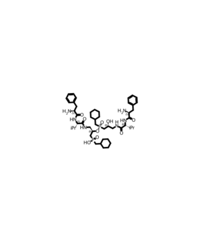 CC(C)[C@H](NC(=O)[C@@H](N)Cc1ccccc1)C(=O)NC[C@H](CP(=O)(O)CC1CCCCC1)OP(=O)(CC1CCCCC1)C[C@H](O)CNC(=O)[C@H](NC(=O)[C@@H](N)Cc1ccccc1)C(C)C